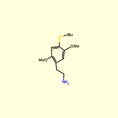 COc1cc(SC(C)(C)C)c(OC)cc1CCN